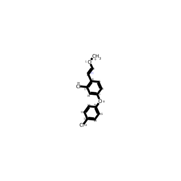 CO/C=C/c1ccc(Oc2ccc(Cl)cc2)cc1Cl